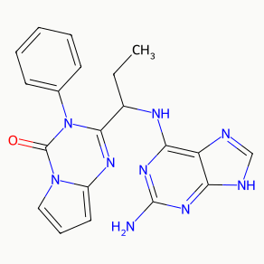 CCC(Nc1nc(N)nc2[nH]cnc12)c1nc2cccn2c(=O)n1-c1ccccc1